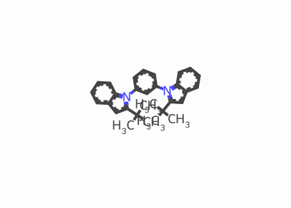 CC(C)(C)c1cc2ccccc2n1-c1cccc(-n2c(C(C)(C)C)cc3ccccc32)c1